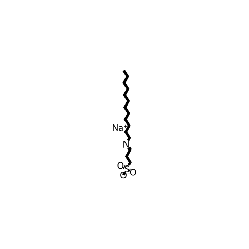 CCCCCCCCCCCCN=CCCS(=O)(=O)[O-].[Na+]